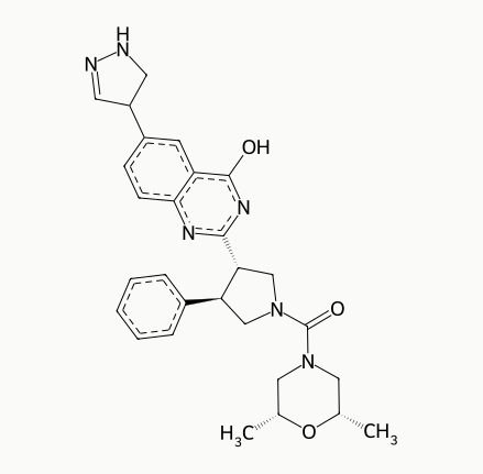 C[C@@H]1CN(C(=O)N2C[C@@H](c3ccccc3)[C@H](c3nc(O)c4cc(C5C=NNC5)ccc4n3)C2)C[C@H](C)O1